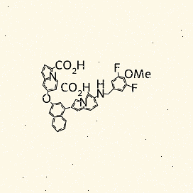 COc1c(F)cc(CNc2ccc3cc(-c4cc(Oc5ccn6c(C(=O)O)ccc6c5)cc5ccccc45)cn3c2C(=O)O)cc1F